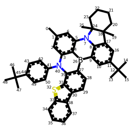 Cc1cc2c3c(c1)N1c4c(cc(C(C)(C)C)cc4C4(C)CCCCC14C)B3c1ccc3c(sc4ccccc43)c1N2c1ccc(C(C)(C)C)cc1